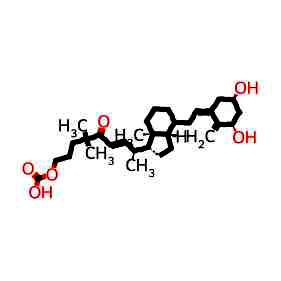 C=C1/C(=C\CC2CCC[C@]3(C)[C@@H]([C@H](C)/C=C/C(=O)C(C)(C)CCCOC(=O)O)CC[C@@H]23)C[C@@H](O)C[C@@H]1O